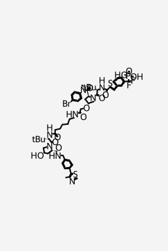 Cc1ncsc1-c1ccc(CNC(=O)[C@@H]2C[C@@H](O)CN2C(=O)[C@@H](NC(=O)CCCCCCNC(=O)CO[C@@H]2C[C@@H](C(=O)N(C)c3ccc(Br)cc3)N(C(=O)[C@@H](NC(=O)c3cc4cc(C(F)(F)P(=O)(O)O)ccc4s3)C(C)(C)C)C2)C(C)(C)C)cc1